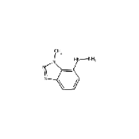 Cn1nnc2cccc(NN)c21